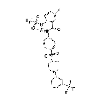 CN(c1ccc(I)cc1C(=O)Nc1ccc(S(=O)(=O)N2CCN(c3cccc(C(F)(F)F)c3)CC2)cc1)S(C)(=O)=O